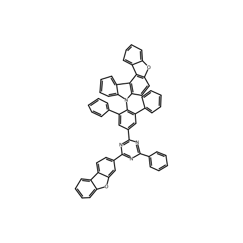 c1ccc(-c2nc(-c3cc(-c4ccccc4)c(-n4c5ccccc5c5c6c(ccc54)oc4ccccc46)c(-c4ccccc4)c3)nc(-c3ccc4c(c3)oc3ccccc34)n2)cc1